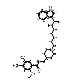 COc1cc(N)c(Cl)cc1C(=O)NCC1CCN(CCCCCNC(C)c2c[nH]c3ccccc23)CC1